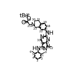 Cc1cccc(C)c1Nc1nn(C)c2nc(Nc3ccc4c(c3)CN(CC(=O)OC(C)(C)C)CC4)ncc12